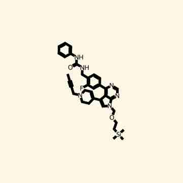 CC#CCN1CC=C(c2cn(COCC[Si](C)(C)C)c3ncnc(-c4ccc(CNC(=O)Nc5ccccc5)c(F)c4)c23)CC1